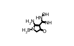 BN1CC(=O)C(C(=N)NO)=C1N